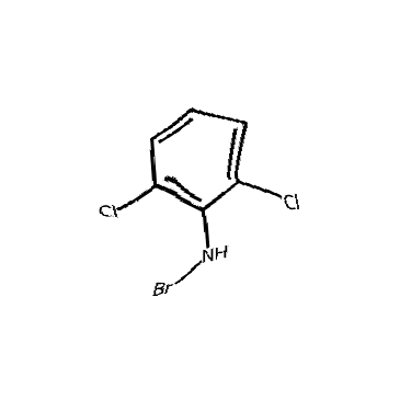 Clc1cccc(Cl)c1NBr